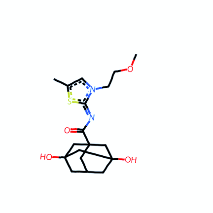 COCCn1cc(C)sc1=NC(=O)C12CC3CC(O)(CC(O)(C3)C1)C2